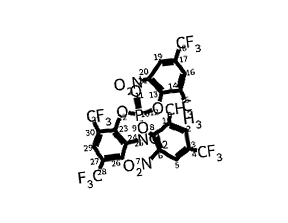 Cc1cc(C(F)(F)F)cc([N+](=O)[O-])c1OP(=O)(Oc1c(C)cc(C(F)(F)F)cc1[N+](=O)[O-])Oc1c([N+](=O)[O-])cc(C(F)(F)F)cc1C(F)(F)F